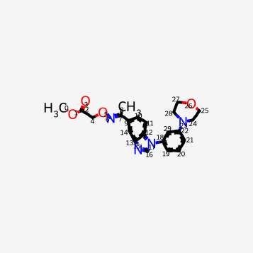 COC(=O)CON=C(C)c1ccc2c(c1)ncn2-c1cccc(N2CCOCC2)c1